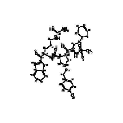 CS(=O)(=O)N[C@H](CCc1ccccc1)C(=O)N1C[C@H](OCc2ccc(Cl)cc2)C[C@H]1C(=O)N[C@@H](CCCNC(=N)N)C(=O)c1nc2ccccc2s1